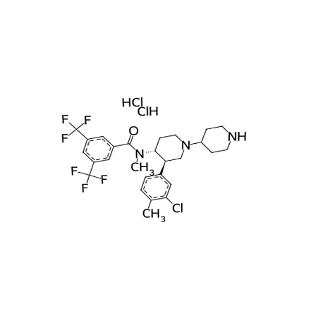 Cc1ccc([C@@H]2CN(C3CCNCC3)CC[C@H]2N(C)C(=O)c2cc(C(F)(F)F)cc(C(F)(F)F)c2)cc1Cl.Cl.Cl